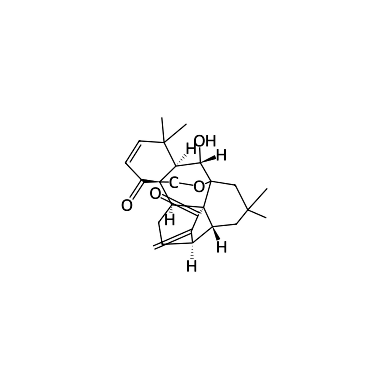 C=C1C(=O)[C@@]23[C@@H]4CC(C)(C)CC25OC[C@]2(C(=O)C=CC(C)(C)[C@H]2[C@@H]5O)[C@@H]3CC[C@@H]14